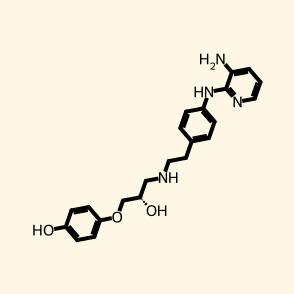 Nc1cccnc1Nc1ccc(CCNC[C@H](O)COc2ccc(O)cc2)cc1